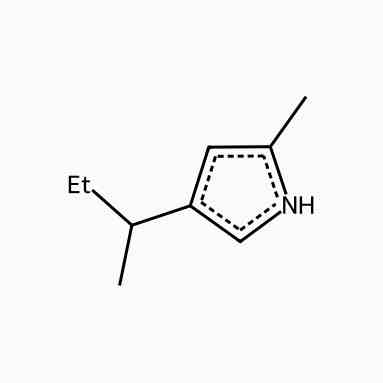 CCC(C)c1c[nH]c(C)c1